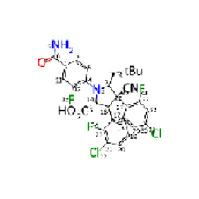 CC(C)(C)C[C@@H]1N(c2ccc(C(N)=O)cc2F)[C@@H](C(=O)O)[C@H](c2cccc(Cl)c2F)[C@@]1(C#N)c1ccc(Cl)cc1F